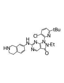 CCn1c(=O)c2cnc(Nc3ccc4c(c3)CNCC4)nc2n1-c1nc(C(C)(C)C)ccc1Cl